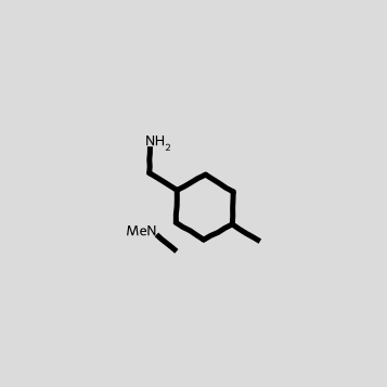 CC1CCC(CN)CC1.CNC